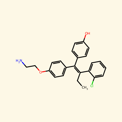 CCC(=C(c1ccc(O)cc1)c1ccc(OCCN)cc1)c1ccccc1Cl